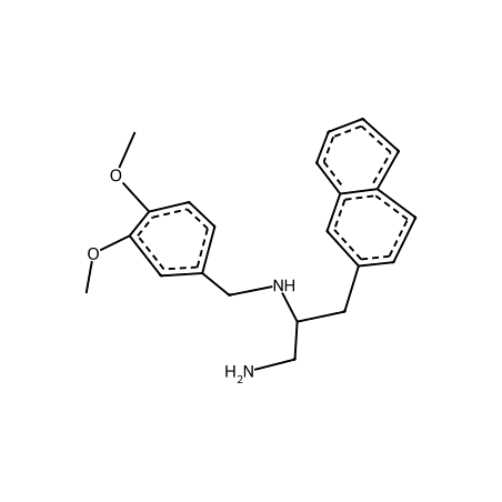 COc1ccc(CNC(CN)Cc2ccc3ccccc3c2)cc1OC